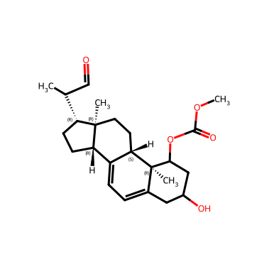 COC(=O)OC1CC(O)CC2=CC=C3[C@@H]4CC[C@H](C(C)C=O)[C@@]4(C)CC[C@@H]3[C@]21C